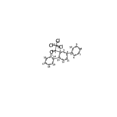 O=C(c1cc(-c2ccccc2)ccc1-c1ccccc1)C(Cl)(Cl)Cl